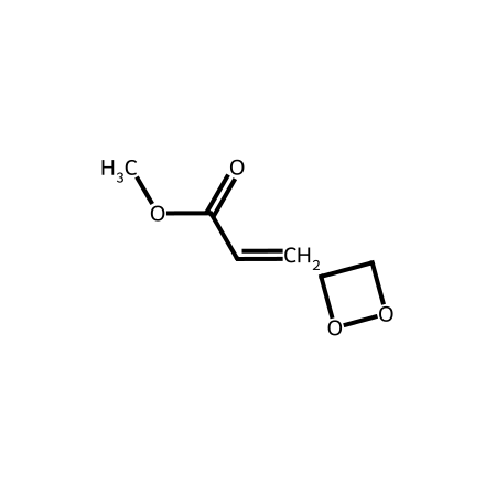 C1COO1.C=CC(=O)OC